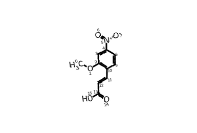 COc1cc([N+](=O)[O-])ccc1C=CC(=O)O